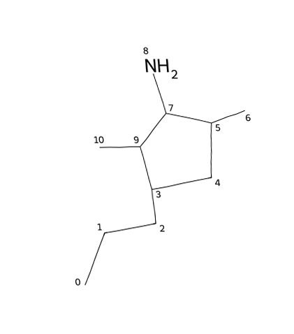 CCCC1CC(C)C(N)C1C